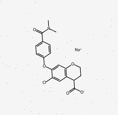 CN(C)C(=O)c1ccc(Oc2cc3c(cc2Cl)C(C(=O)[O-])CCO3)cc1.[Na+]